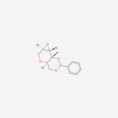 c1ccc(C2OC[C@H]3OC[C@H]4O[C@@H]4[C@@H]3O2)cc1